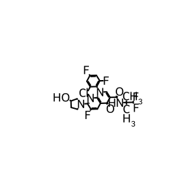 CC(C)(NC(=O)c1cn(-c2c(F)cc(F)cc2Cl)c2nc(N3CCC(O)C3)c(F)cc2c1=O)C(F)F